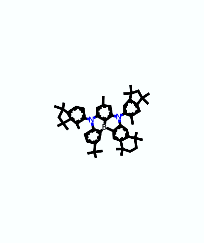 Cc1cc2c3c(c1)N(c1ccc4c(c1C)C(C)(C)CC4(C)C)c1ccc(C(C)(C)C)cc1B3c1cc3c(cc1N2c1cc2c(cc1C)C(C)(C)CC2(C)C)C(C)(C)CCC3(C)C